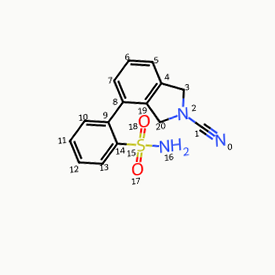 N#CN1Cc2cccc(-c3ccccc3S(N)(=O)=O)c2C1